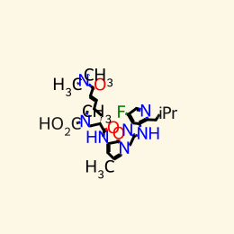 Cc1cc(NC(=O)[C@@H](CC/C=C/C(=O)N(C)C)CN(C)C(=O)O)c(=O)n(Cc2nc3c(F)cnc(CC(C)C)c3[nH]2)c1